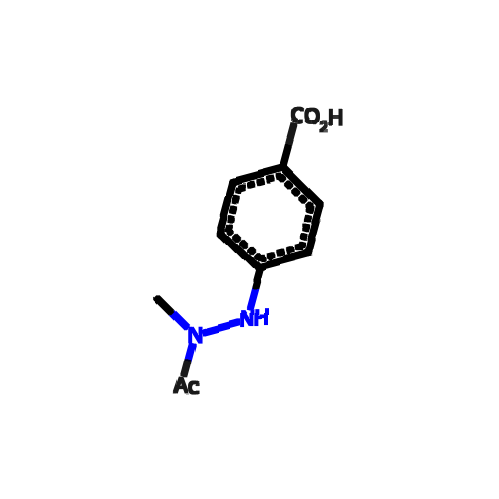 CC(=O)N(C)Nc1ccc(C(=O)O)cc1